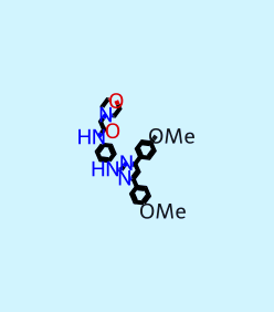 COc1ccc(-c2cc(-c3ccc(OC)cc3)nc(Nc3ccc(NC(=O)CN4CCOCC4)cc3)n2)cc1